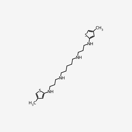 Cc1csc(NCCCNCCCCCNCCCNc2cc(C)cs2)c1